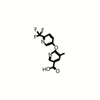 Cc1cc(C(=O)O)cnc1Oc1ccc(C(F)(F)F)nc1